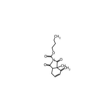 C=C1C=CCC2C(=O)N(C(=O)OCCCC)C(=O)C12C